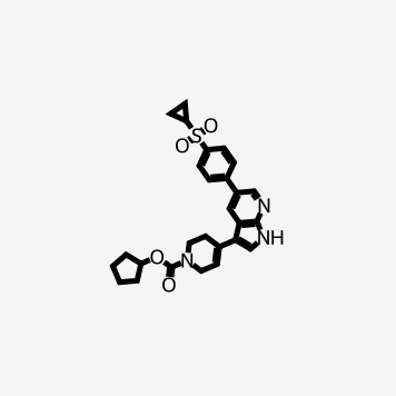 O=C(OC1CCCC1)N1CC=C(c2c[nH]c3ncc(-c4ccc(S(=O)(=O)C5CC5)cc4)cc23)CC1